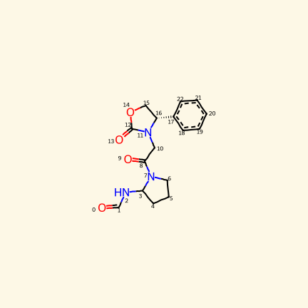 O=CNC1CCCN1C(=O)CN1C(=O)OC[C@@H]1c1ccccc1